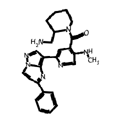 CNc1cnc(-c2cnn3ccc(-c4ccccc4)nc23)cc1C(=O)N1CCCCC1CN